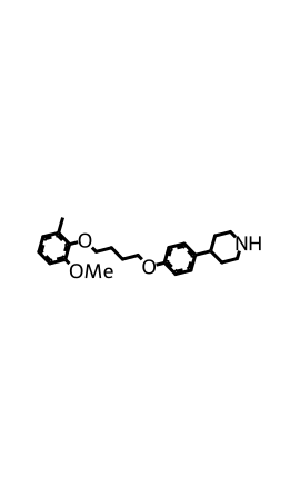 COc1cccc(C)c1OCCCCOc1ccc(C2CCNCC2)cc1